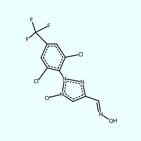 [O-][n+]1cc(C=NO)nn1-c1c(Cl)cc(C(F)(F)F)cc1Cl